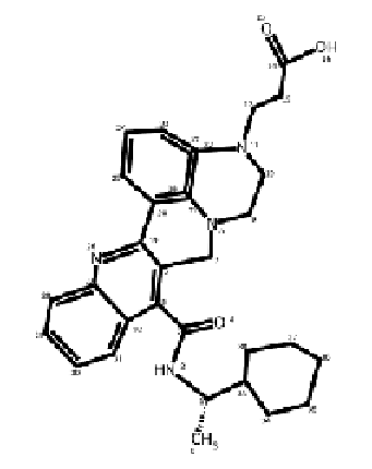 C[C@H](NC(=O)c1c(CN2CCN(CCC(=O)O)CC2)c(-c2ccccc2)nc2ccccc12)C1CCCCC1